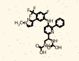 Cn1ccc(-c2cc(Nc3ccc(C(CNC(=O)O)NC(=O)O)nc3-c3ccccc3)c(F)cc2C(F)(F)F)n1